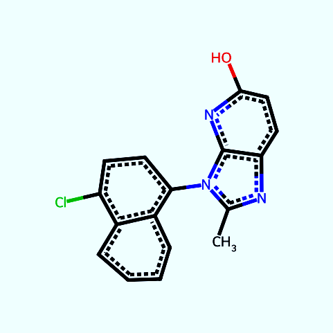 Cc1nc2ccc(O)nc2n1-c1ccc(Cl)c2ccccc12